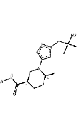 C[C@H]1CC[C@@H](C(=O)NN)CN1c1cnn(CC(C)(C)N=O)c1